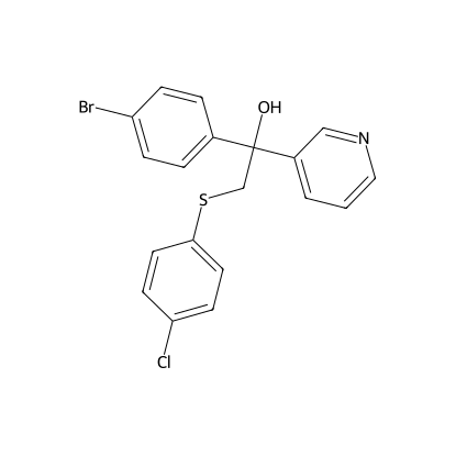 OC(CSc1ccc(Cl)cc1)(c1ccc(Br)cc1)c1cccnc1